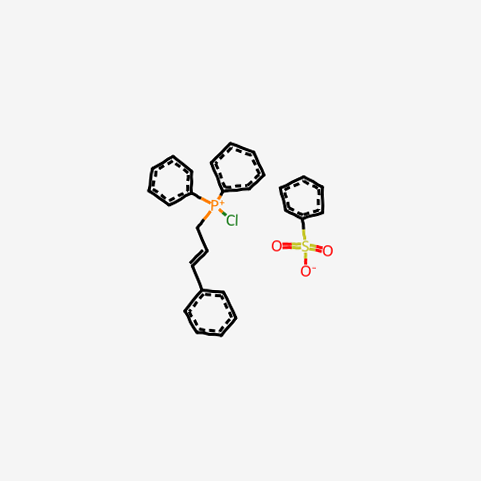 Cl[P+](CC=Cc1ccccc1)(c1ccccc1)c1ccccc1.O=S(=O)([O-])c1ccccc1